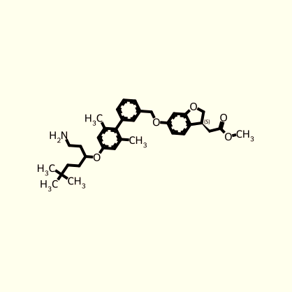 COC(=O)C[C@@H]1COc2cc(OCc3cccc(-c4c(C)cc(OC(CCN)CCC(C)(C)C)cc4C)c3)ccc21